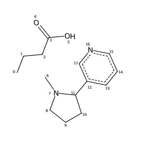 CCCC(=O)O.CN1CCCC1c1cccnc1